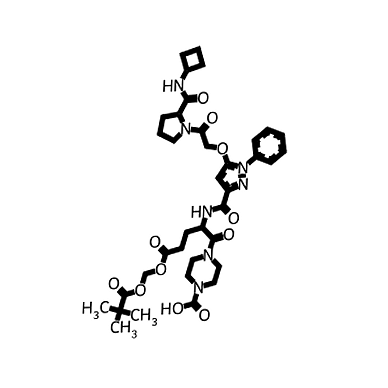 CC(C)(C)C(=O)OCOC(=O)CCC(NC(=O)c1cc(OCC(=O)N2CCCC2C(=O)NC2CCC2)n(-c2ccccc2)n1)C(=O)N1CCN(C(=O)O)CC1